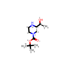 C[C@H](O)[C@@H]1CN(C(=O)OC(C)(C)C)CCN1